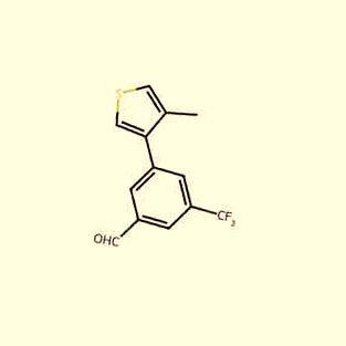 Cc1cscc1-c1cc(C=O)cc(C(F)(F)F)c1